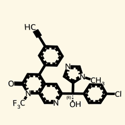 C#Cc1cccc(-c2cc(=O)n(C(F)(F)F)c3cnc([C@](O)(c4ccc(Cl)cc4)c4cncn4C)cc23)c1